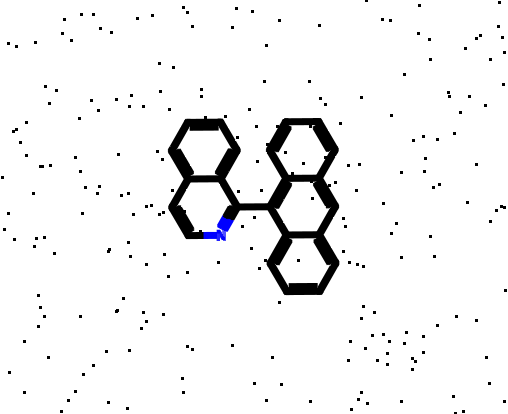 c1ccc2c(-c3c4ccccc4cc4ccccc34)nccc2c1